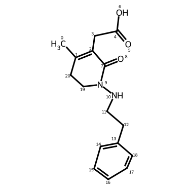 CC1=C(CC(=O)O)C(=O)N(NCCc2ccccc2)CC1